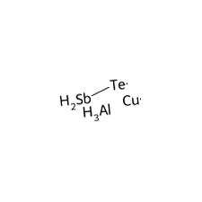 [AlH3].[Cu].[SbH2][Te]